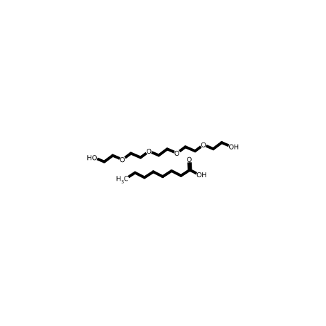 CCCCCCCC(=O)O.OCCOCCOCCOCCOCCO